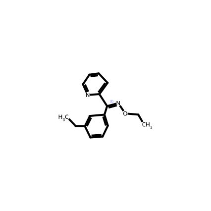 CCO/N=C(\c1[c]c(CC)ccc1)c1ccccn1